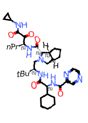 CCC[C@H](NC(=O)[C@@H]1[C@H]2CCC[C@H]2CN1C[C@@H](NC(=O)[C@@H](NC(=O)c1cnccn1)C1CCCCC1)C(C)(C)C)C(=O)C(=O)NC1CC1